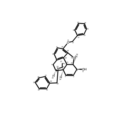 O[C@H]1C=C[C@H]2[C@H]3Cc4ccc(OCc5ccccc5)c5c4[C@@]2(CCN3Cc2ccccc2)[C@H]1O5